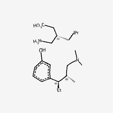 CC(C)C[C@H](CN)CC(=O)O.CC[C@@H](c1cccc(O)c1)[C@@H](C)CN(C)C